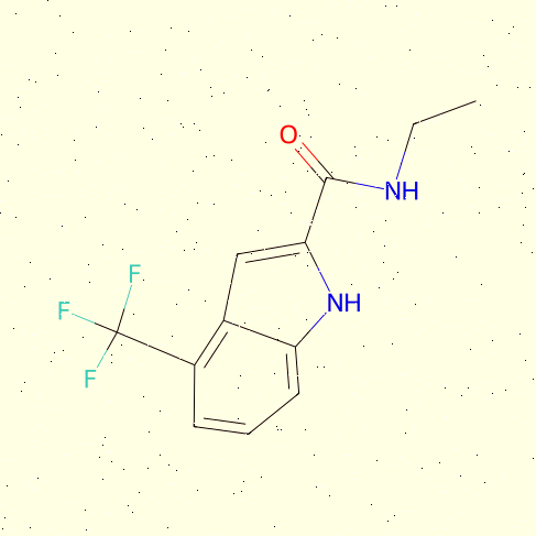 CCNC(=O)c1cc2c(C(F)(F)F)cccc2[nH]1